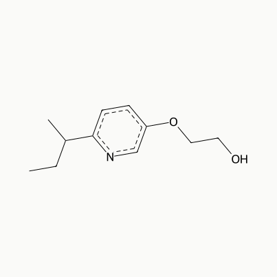 CCC(C)c1ccc(OCCO)cn1